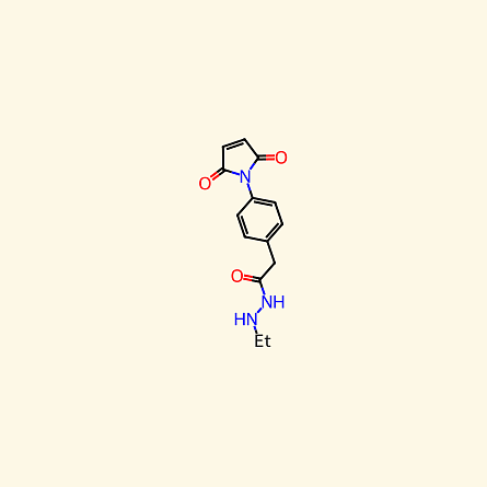 CCNNC(=O)Cc1ccc(N2C(=O)C=CC2=O)cc1